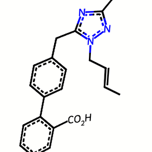 CC=CCn1nc(CCC)nc1Cc1ccc(-c2ccccc2C(=O)O)cc1